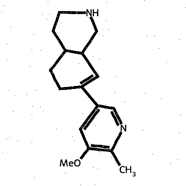 COc1cc(C2=CC3CNCCC3CC2)cnc1C